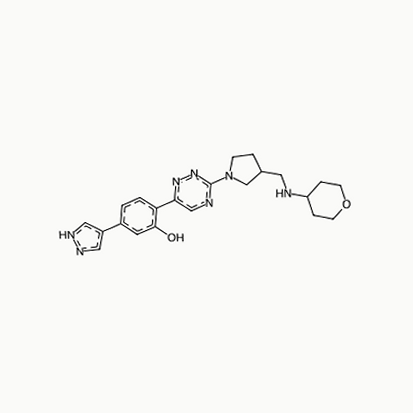 Oc1cc(-c2cn[nH]c2)ccc1-c1cnc(N2CCC(CNC3CCOCC3)C2)nn1